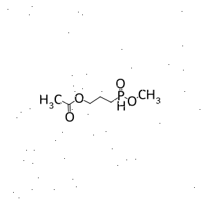 CO[PH](=O)CCCOC(C)=O